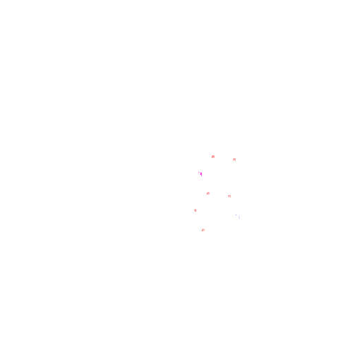 c1ccc(-c2ccccc2-c2c(-c3ccccc3)ccc3c2N(c2cccnc2)c2cccc4cccc-3c24)cc1